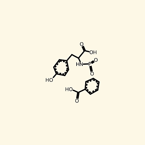 O=C(O)C(Cc1ccc(O)cc1)NP(=O)=O.O=C(O)c1ccccc1